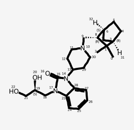 CC1(C)[C@@H]2CC[C@@H](C2)[C@H]1CN1CCC(n2c(=O)n(C[C@H](O)CO)c3ccccc32)CC1